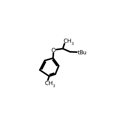 Cc1ccc(OC(C)CC(C)(C)C)cc1